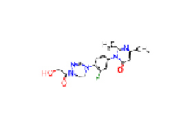 Cc1cc(=O)n(-c2ccc(N3C=NN(C(=O)CO)CC3)c(F)c2)c(C)n1